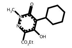 CCOC(=O)c1nn(C)c(=O)c(C2CCCCC2)c1O